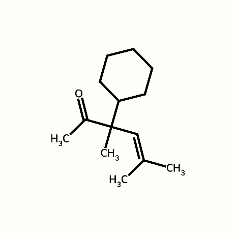 CC(=O)C(C)(C=C(C)C)C1CCCCC1